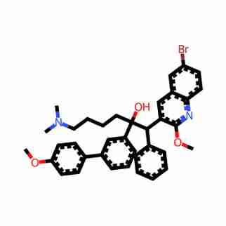 COc1ccc(-c2cccc(C(O)(CCCCN(C)C)C(c3ccccc3)c3cc4cc(Br)ccc4nc3OC)c2)cc1